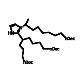 CCCCCCCCCCCCCCCCC(C)[n+]1cc[nH]c1C(CCCCCCCCCCCCC)CCCCCCCCCCCCCC